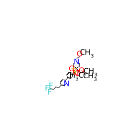 COCCN1CCC(C(=O)OC(C)(C)C)(S(=O)(=O)c2ccc(-c3ccc(CCCC(F)(F)F)cn3)cc2)CC1